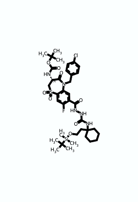 CC(C)(C)OC(=O)N[C@H]1CS(=O)(=O)c2cc(F)c(C(=O)NNC(=O)NC3(CCO[Si](C)(C)C(C)(C)C)CCCCC3)cc2N(Cc2ccc(Cl)cc2)C1=O